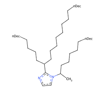 CCCCCCCCCCCCCCCCCCC(CCCCCCCCCCCCCC)c1nccn1C(C)CCCCCCCCCCCCCCC